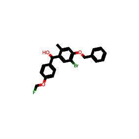 Cc1cc(OCc2ccccc2)c(Br)cc1C(O)c1ccc(OCF)cc1